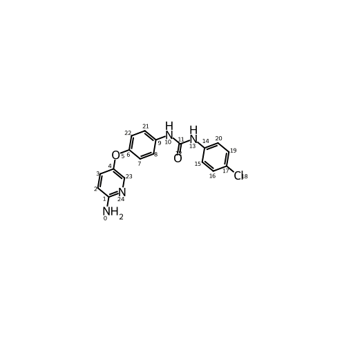 Nc1ccc(Oc2ccc(NC(=O)Nc3ccc(Cl)cc3)cc2)cn1